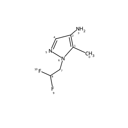 Cc1c(N)cnn1CC(F)F